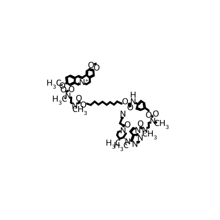 COc1ccc2cc3[n+](cc2c1OC(=O)N(C)CCN(C)C(=O)OCCCCCCCCCCOC(=O)Nc1ccc(COC(=O)N(C)CCN(C)C(=O)n2ccc4c(N(C)[C@H]5CN(C(=O)CC#N)CC[C@H]5C)ncnc42)cc1)CCc1cc2c(cc1-3)OCO2